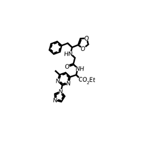 CCOC(=O)C(NC(=O)CNC(Cc1ccccc1)C1=COCO1)c1cc(C)nc(-n2ccnc2)n1